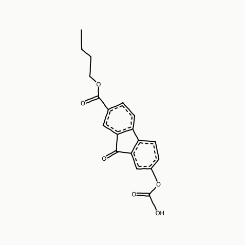 CCCCOC(=O)c1ccc2c(c1)C(=O)c1cc(OC(=O)O)ccc1-2